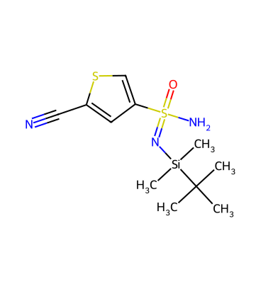 CC(C)(C)[Si](C)(C)N=S(N)(=O)c1csc(C#N)c1